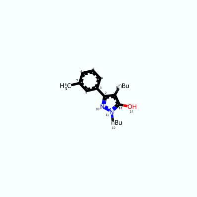 CCCCc1c(-c2cccc(C)c2)nn(CCCC)c1O